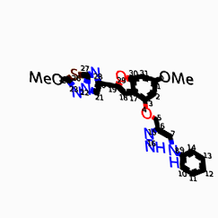 COc1cc(OC/C(=C/Nc2ccccc2)N=N)c2cc(-c3cn4nc(OC)sc4n3)oc2c1